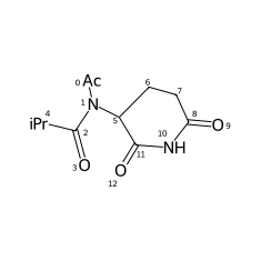 CC(=O)N(C(=O)C(C)C)C1CCC(=O)NC1=O